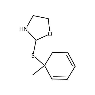 CC1(SC2NCCO2)C=CC=CC1